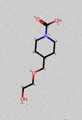 O=C(O)N1CCC(COCCO)CC1